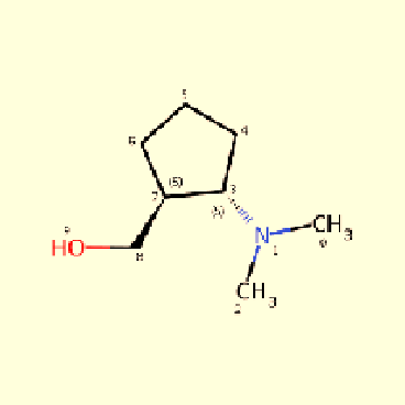 CN(C)[C@H]1CCC[C@@H]1CO